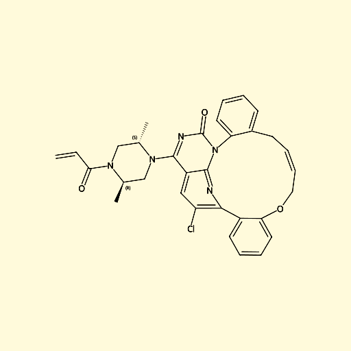 C=CC(=O)N1C[C@H](C)N(c2nc(=O)n3c4nc(c(Cl)cc24)-c2ccccc2OCC=CCc2ccccc2-3)C[C@H]1C